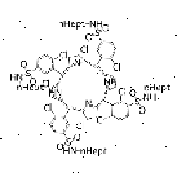 CCCCCCCNS(=O)(=O)c1ccc(Cl)c(-c2c3nc(c(-c4c(Cl)ccc(S(=O)(=O)NCCCCCCC)c4Cl)c4ccc([nH]4)c(-c4c(Cl)ccc(S(=O)(=O)NCCCCCCC)c4Cl)c4nc(c(-c5c(Cl)ccc(S(=O)(=O)NCCCCCCC)c5Cl)c5ccc2[nH]5)CC4)CC3)c1Cl